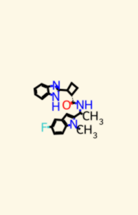 CC(NC(=O)[C@H]1CCC1c1nc2ccccc2[nH]1)c1cc2cc(F)ccc2n1C